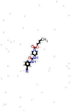 CCCCOC(=O)N1CCC(NC(=O)Nc2cccc(C#N)c2)CC1